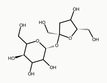 OCC1O[C@H](O[C@@]2(CO)CC(O)[C@H](CO)O2)C(O)C(O)[C@H]1O